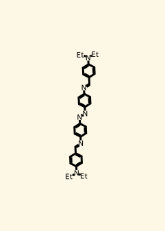 CCN(CC)c1ccc(C=Nc2ccc(N=Nc3ccc(N=Cc4ccc(N(CC)CC)cc4)cc3)cc2)cc1